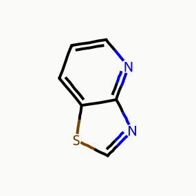 c1cnc2ncsc2c1